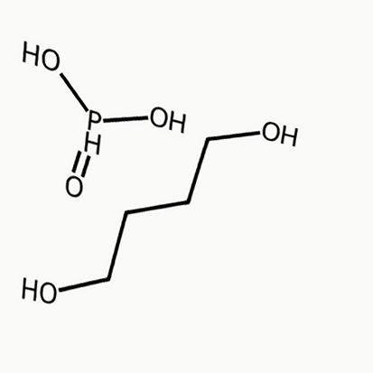 O=[PH](O)O.OCCCCO